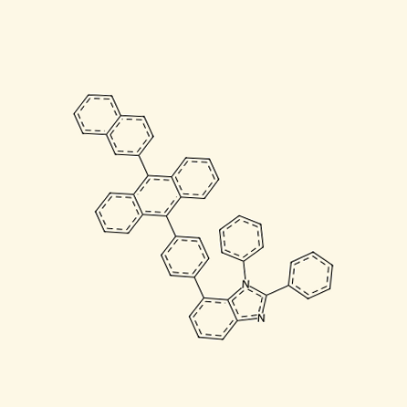 c1ccc(-c2nc3cccc(-c4ccc(-c5c6ccccc6c(-c6ccc7ccccc7c6)c6ccccc56)cc4)c3n2-c2ccccc2)cc1